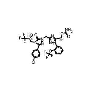 C[C@@H](OC(N)=O)c1nc(Cn2nc(-c3ccc(Cl)cc3)n(C[C@H](O)C(F)(F)F)c2=O)nn1-c1ccccc1OC(F)(F)F